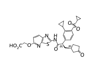 O=C(O)COc1ccc2nc(NC(=O)[C@H](C[C@H]3CCC(=O)C3)c3ccc(S(=O)(=O)C4CC4)c(C4CC4)c3)sc2n1